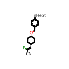 CCCCCCCc1ccc(CO[C@H]2CC[C@H](C=C(F)C#N)CC2)cc1